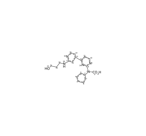 O=C(O)N(c1ccccc1)c1nccc(-c2ccnc(NCCCO)c2)n1